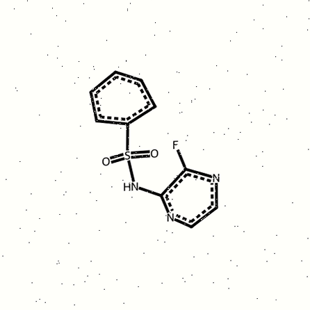 O=S(=O)(Nc1nccnc1F)c1ccccc1